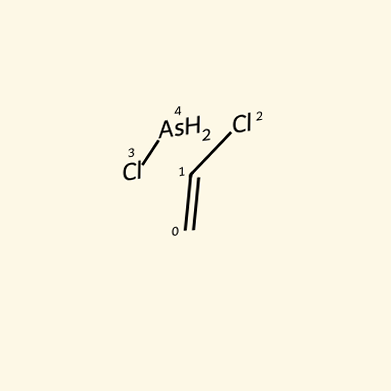 C=CCl.Cl[AsH2]